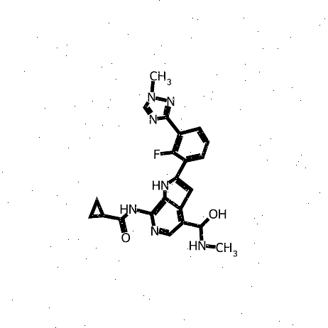 CNC(O)c1cnc(NC(=O)C2CC2)c2[nH]c(-c3cccc(-c4ncn(C)n4)c3F)cc12